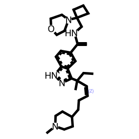 C=C(NCC1(N2CCOCC2)CCC1)c1ccc2[nH]nc(C(C)(/C=C\CCC3CCN(C)CC3)CC)c2c1